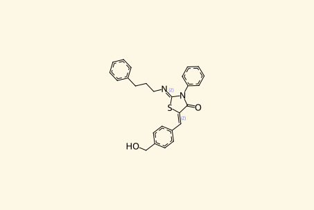 O=C1/C(=C/c2ccc(CO)cc2)S/C(=N\CCCc2ccccc2)N1c1ccccc1